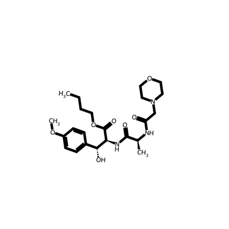 CCCCOC(=O)[C@@H](NC(=O)[C@H](C)NC(=O)CN1CCOCC1)[C@H](O)c1ccc(OC)cc1